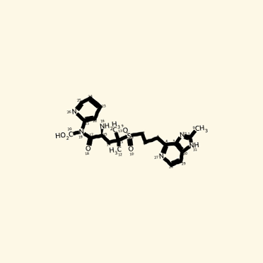 Cc1nc2c(CCCS(=O)(=O)C(C)(C)C[C@H](N)C(=O)N(C(=O)O)c3ccccn3)nccc2[nH]1